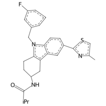 Cc1csc(-c2ccc3c(c2)c2c(n3Cc3cccc(F)c3)CCC(NC(=O)C(C)C)C2)n1